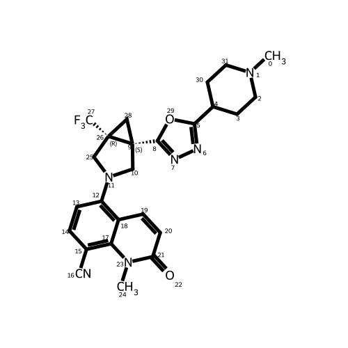 CN1CCC(c2nnc([C@]34CN(c5ccc(C#N)c6c5ccc(=O)n6C)C[C@@]3(C(F)(F)F)C4)o2)CC1